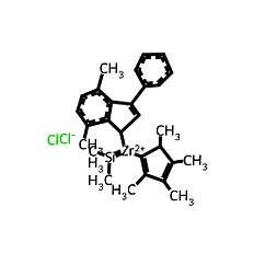 CC1=C(C)C(C)[C]([Zr+2]([CH]2C=C(c3ccccc3)c3c(C)ccc(C)c32)=[Si](C)C)=C1C.[Cl-].[Cl-]